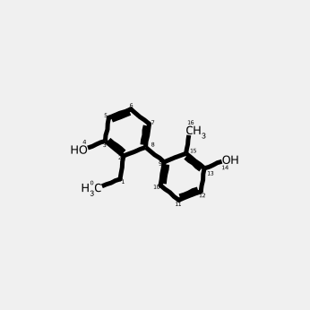 CCc1c(O)cccc1-c1cccc(O)c1C